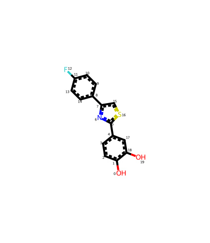 Oc1ccc(-c2nc(-c3ccc(F)cc3)cs2)cc1O